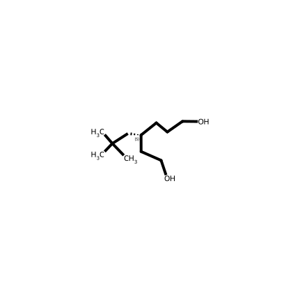 CC(C)(C)C[C@@H](CCO)CCCO